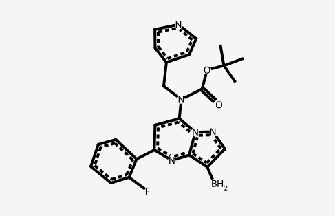 Bc1cnn2c(N(Cc3ccncc3)C(=O)OC(C)(C)C)cc(-c3ccccc3F)nc12